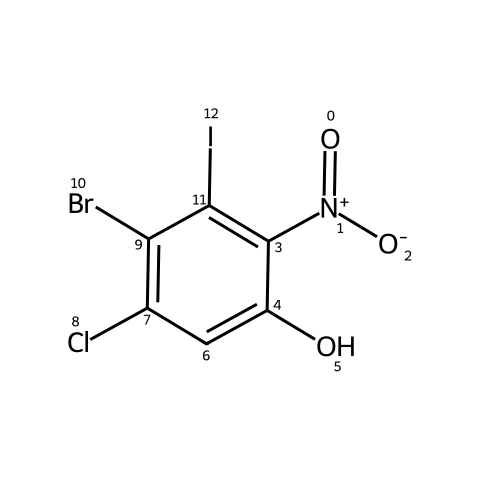 O=[N+]([O-])c1c(O)cc(Cl)c(Br)c1I